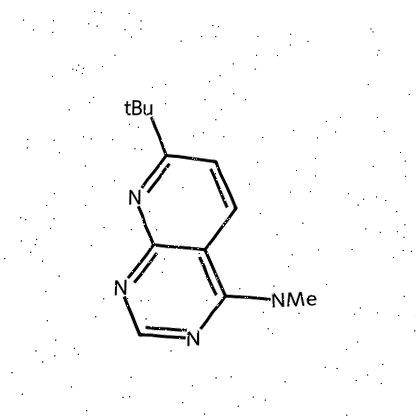 CNc1ncnc2nc(C(C)(C)C)ccc12